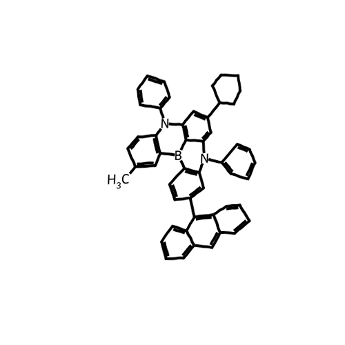 Cc1ccc2c(c1)B1c3ccc(-c4c5ccccc5cc5ccccc45)cc3N(c3ccccc3)c3cc(C4CCCCC4)cc(c31)N2c1ccccc1